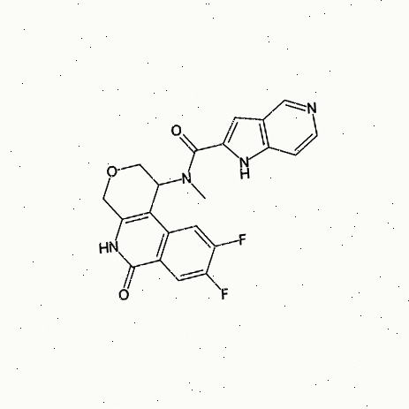 CN(C(=O)c1cc2cnccc2[nH]1)C1COCc2[nH]c(=O)c3cc(F)c(F)cc3c21